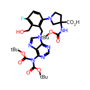 CC(C)(C)OC(=O)NC1(C(=O)O)CCN(c2ccc(F)c(CO)c2Cn2cnc3c(N(C(=O)OC(C)(C)C)C(=O)OC(C)(C)C)ncnc32)C1